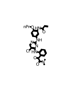 C=CC(=O)Nc1cc(Nc2ncc(Cl)c(Nc3ccccc3C(=O)C(=O)N(C)C)n2)ccc1OCCC